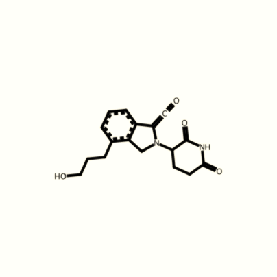 O=C=C1c2cccc(CCCO)c2CN1C1CCC(=O)NC1=O